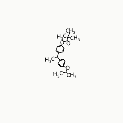 CCC(C)(C)C(=O)Oc1ccc(C(C)c2ccc(OC(C)C)cc2)cc1